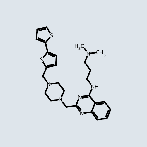 CN(C)CCCNc1nc(CN2CCN(Cc3ccc(-c4cccs4)s3)CC2)nc2ccccc12